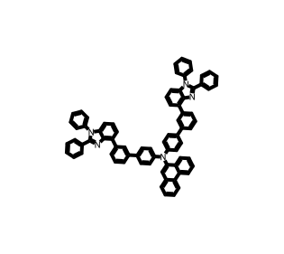 c1ccc(-c2nc3c(-c4cccc(-c5ccc(N(c6ccc(-c7cccc(-c8cccc9c8nc(-c8ccccc8)n9-c8ccccc8)c7)cc6)c6cc7ccccc7c7ccccc67)cc5)c4)cccc3n2-c2ccccc2)cc1